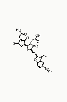 [C-]#[N+]c1ccc2c(c1)N(CC)/C(=C/C=c1/s/c(=C3\SC(=S)N(CC(=O)O)C3=O)n(CC(=O)O)c1=O)O2